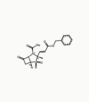 C[C@]1(C=CC(=O)OCc2ccccc2)[C@H](C(=O)O)N2C(=O)C[C@H]2S1(=O)=O